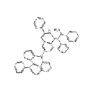 NC(/C(=C1\NC(c2ccccc2)=Cc2cc(N(c3ccccc3)c3ccccc3-c3ccccc3-c3ccccc3)ccc21)c1ccccc1)c1ccccc1